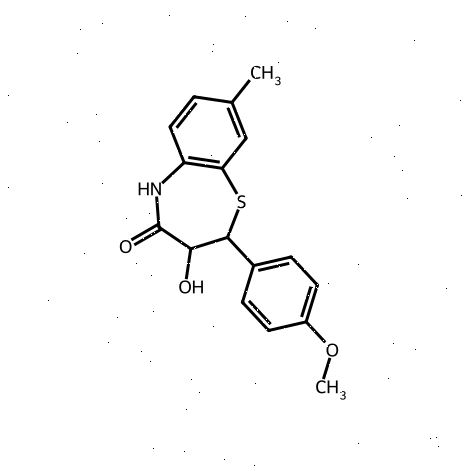 COc1ccc(C2Sc3cc(C)ccc3NC(=O)C2O)cc1